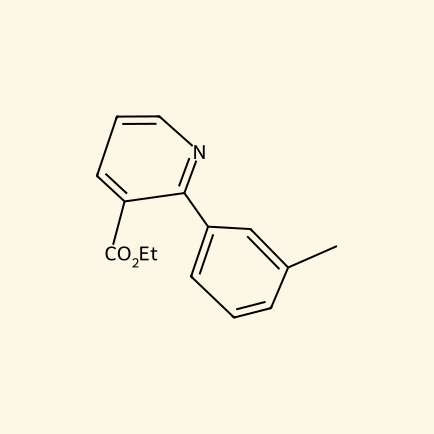 CCOC(=O)c1cccnc1-c1cccc(C)c1